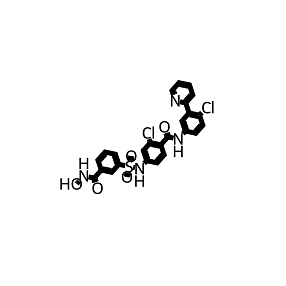 O=C(NO)c1cccc(S(=O)(=O)Nc2ccc(C(=O)Nc3ccc(Cl)c(-c4ccccn4)c3)c(Cl)c2)c1